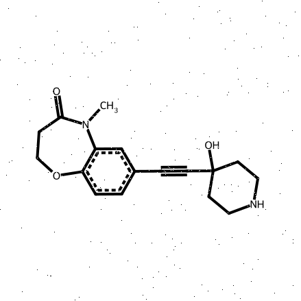 CN1C(=O)CCOc2ccc(C#CC3(O)CCNCC3)cc21